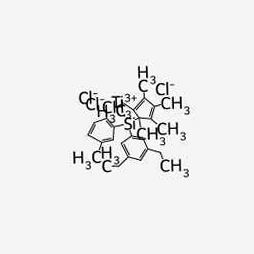 CCc1cc(CC)cc([Si](C)(c2cc(C)ccc2C)C2(C)C(C)=C(C)C(C)=[C]2[Ti+3])c1.[Cl-].[Cl-].[Cl-]